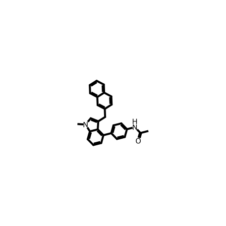 CC(=O)Nc1ccc(-c2cccc3c2c(Cc2ccc4ccccc4c2)cn3C)cc1